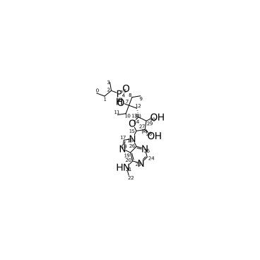 CCC(C)[PH](=O)OC(CC)(CC)C[C@H]1OC(n2cnc3c(NC)ncnc32)[C@H](O)C1O